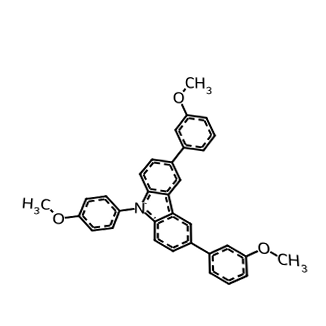 COc1ccc(-n2c3ccc(-c4cccc(OC)c4)cc3c3cc(-c4cccc(OC)c4)ccc32)cc1